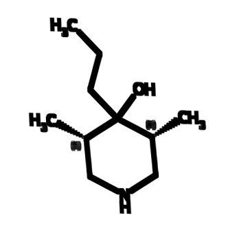 CCCC1(O)[C@H](C)CNC[C@@H]1C